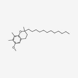 CCCCCCCCCCCCC1(C)CCc2cc(OC)c(C)c(C)c2O1